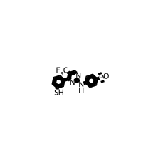 CP(C)(=O)c1ccc(Nc2ncc(C(F)(F)F)c(-c3cccc(S)c3)n2)cc1